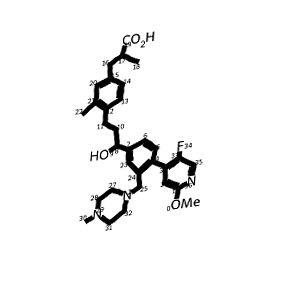 COc1cc(-c2ccc(C(O)CCc3ccc(CC(C)C(=O)O)cc3C)cc2CN2CCN(C)CC2)c(F)cn1